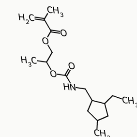 C=C(C)C(=O)OCC(C)OC(=O)NCC1CC(C)CC1CC